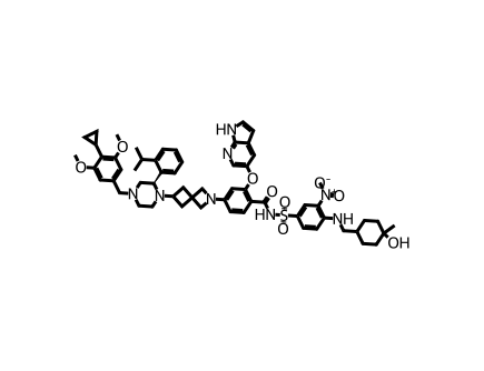 COc1cc(CN2CCN(C3CC4(C3)CN(c3ccc(C(=O)NS(=O)(=O)c5ccc(NCC6CCC(C)(O)CC6)c([N+](=O)[O-])c5)c(Oc5cnc6[nH]ccc6c5)c3)C4)[C@H](c3ccccc3C(C)C)C2)cc(OC)c1C1CC1